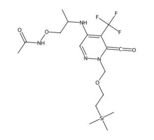 CC(=O)NOCC(C)NC1=C(C(F)(F)F)C(=C=O)N(COCC[Si](C)(C)C)N=C1